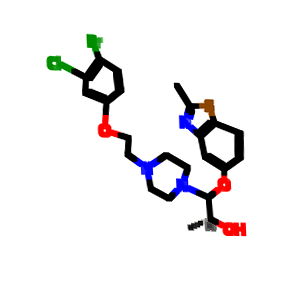 Cc1nc2cc(OC([C@@H](C)O)N3CCN(CCOc4ccc(Br)c(Cl)c4)CC3)ccc2s1